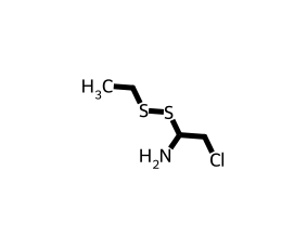 CCSSC(N)CCl